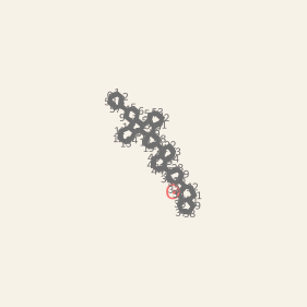 c1ccc(-c2ccc3c(c2)c2ccccc2c2c4ccc(-c5cccc6c(-c7ccc8c(c7)oc7c9ccccc9ccc87)cccc56)cc4c4ccccc4c32)cc1